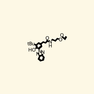 C=CC(=O)OCCCNC(=O)CCc1cc(-n2nc3ccccc3n2)c(O)c(C(C)(C)C)c1